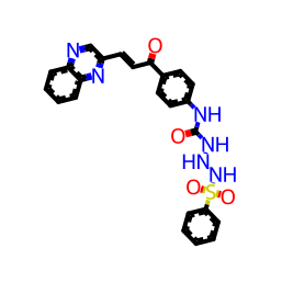 O=C(NNNS(=O)(=O)c1ccccc1)Nc1ccc(C(=O)C=Cc2cnc3ccccc3n2)cc1